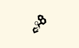 O=C(C[S+]1CCCC1)c1cccc2ccccc12